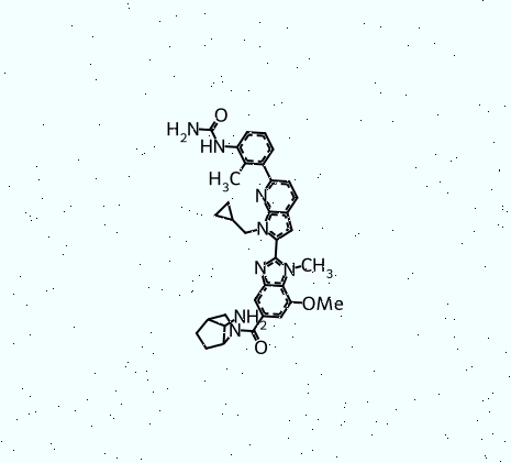 COc1cc(C(=O)N2CC3CCC2C3N)cc2nc(-c3cc4ccc(-c5cccc(NC(N)=O)c5C)nc4n3CC3CC3)n(C)c12